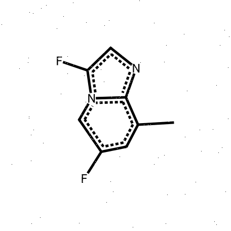 Cc1cc(F)cn2c(F)cnc12